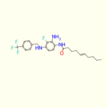 CCCC/C=C/CCCC(=O)Nc1ccc(NCc2ccc(C(F)(F)F)cc2)c(F)c1N